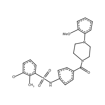 COc1ccccc1N1CCN(C(=O)c2ccc(NS(=O)(=O)c3cccc(Cl)c3C)cc2)CC1